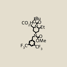 CCC1CC(N(Cc2cc(C(F)(F)F)cc(C(F)(F)F)c2)C(=O)OC)CC(CC(=O)O)N1C(=O)OC(C)(C)C